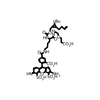 C=CCCC1C(CCCC)C1COC(=O)NC(CCCCNC(=O)c1ccc(-c2c3ccc(=N)c(S(=O)(=O)O)c-3oc3c(S(=O)(=O)O)c(N)ccc23)c(C(=O)O)c1)C(=O)NCCOCCC(=O)O